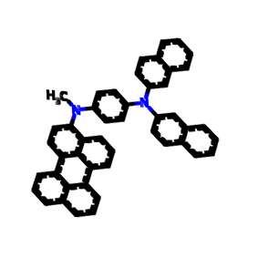 CN(c1ccc(N(c2ccc3ccccc3c2)c2ccc3ccccc3c2)cc1)c1ccc2c3cccc4cccc(c5cccc1c52)c43